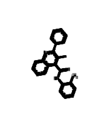 Cc1c(-c2ccccc2)nc2ccccc2c1C(=O)Nc1ccccc1C(F)(F)F